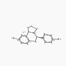 C[C@]12CCCN1[C@@H](c1ccc(F)cc1)Cc1ccc(F)cc12